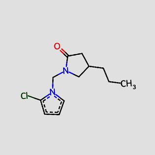 CCCC1CC(=O)N(Cn2cccc2Cl)C1